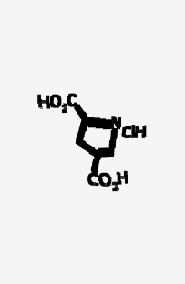 Cl.O=C(O)C1=CN=C(C(=O)O)C1